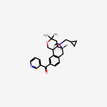 CC1(C)C[C@H]2[C@H]3Cc4ccc(C(=O)c5cccnc5)cc4[C@@]2(CCN3CC2CC2)CO1